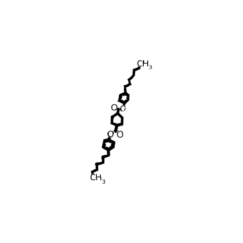 CCCCCCCc1ccc(OC(=O)C2CCC(C(=O)Oc3ccc(CCCCCCC)cc3)CC2)cc1